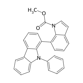 COC(=O)n1ccc2cccc(-c3cccc4c5ccccc5n(-c5ccccc5)c34)c21